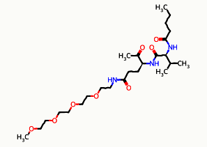 CCCCC(=O)N[C@H](C(=O)N[C@@H](CCC(=O)NCCOCCOCCOCCOC)C(C)=O)C(C)C